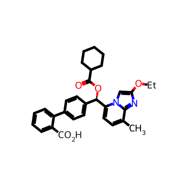 CCOc1cn2c([C@H](OC(=O)C3CCCCC3)c3ccc(-c4ccccc4C(=O)O)cc3)ccc(C)c2n1